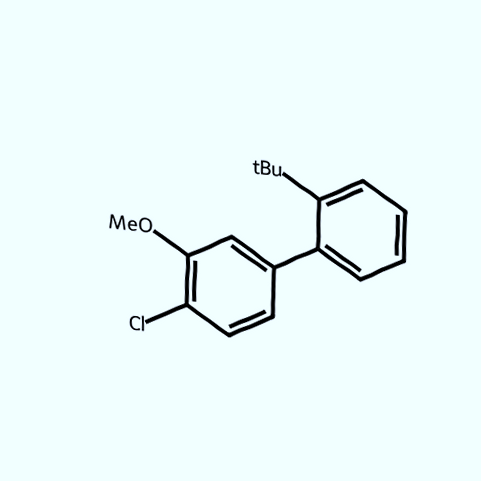 COc1cc(-c2ccccc2C(C)(C)C)ccc1Cl